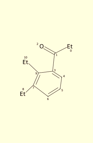 CCC(=O)c1cccc(CC)c1CC